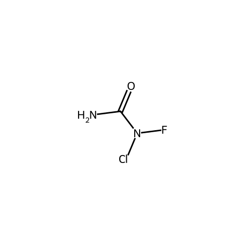 NC(=O)N(F)Cl